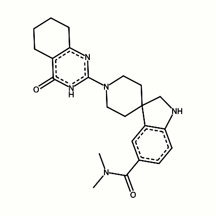 CN(C)C(=O)c1ccc2c(c1)C1(CCN(c3nc4c(c(=O)[nH]3)CCCC4)CC1)CN2